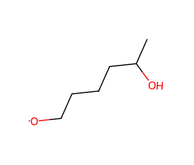 CC(O)CCCC[O]